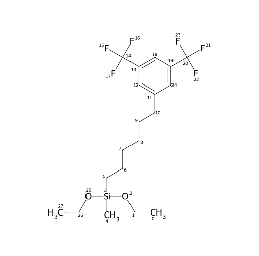 CCO[Si](C)(CCCCCCc1cc(C(F)(F)F)cc(C(F)(F)F)c1)OCC